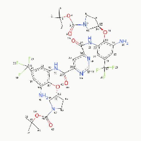 CC(C)(C)OC(=O)N1CC[C@@H](Oc2c(N)cc(C(F)(F)F)cc2NC(=O)c2cc(C(=O)Nc3cc(C(F)(F)F)cc(N)c3O[C@@H]3CCN(C(=O)OC(C)(C)C)C3)ncn2)C1